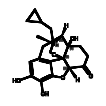 C[N@+]1(CC2CC2)CC[C@]23c4c5cc(O)c(O)c4O[C@H]2C(=O)CC[C@@]3(O)[C@H]1C5